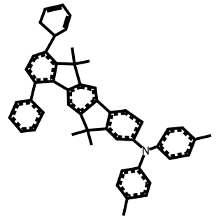 Cc1ccc(N(c2ccc(C)cc2)c2ccc3c(c2)C(C)(C)c2cc4c(cc2-3)C(C)(C)c2c(C3C=CC=CC3)ccc(-c3ccccc3)c2-4)cc1